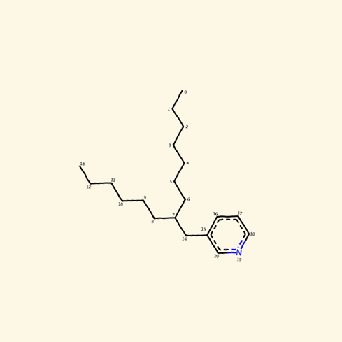 CCCCCCCC(CCCCCC)Cc1cccnc1